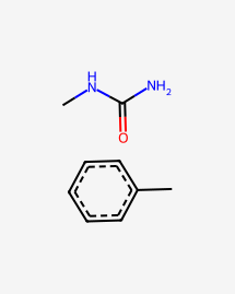 CNC(N)=O.Cc1ccccc1